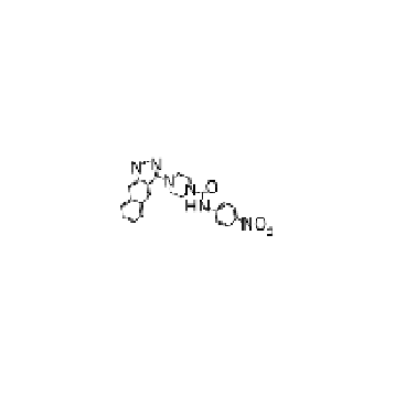 O=C(Nc1ccc([N+](=O)[O-])cc1)N1CCN(c2ncnc3cc4ccccc4cc23)CC1